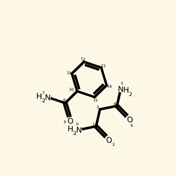 NC(=O)CC(N)=O.NC(=O)c1ccccc1